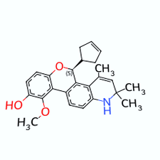 COc1c(O)ccc2c1-c1ccc3c(c1[C@H](C1CC=CC1)O2)C(C)=CC(C)(C)N3